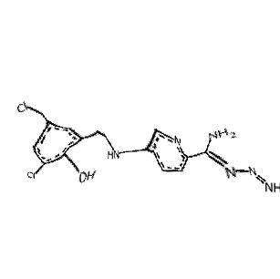 N=N/N=C(\N)c1ccc(NCc2cc(Cl)cc(Cl)c2O)cn1